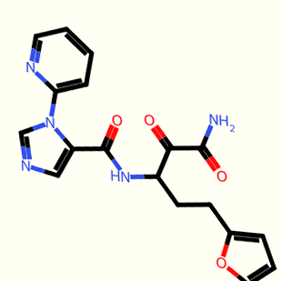 NC(=O)C(=O)C(CCc1ccco1)NC(=O)c1cncn1-c1ccccn1